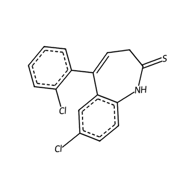 S=C1CC=C(c2ccccc2Cl)c2cc(Cl)ccc2N1